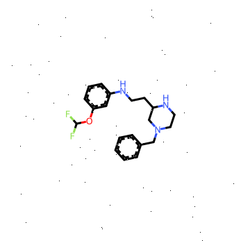 FC(F)Oc1cccc(NCCC2CN(Cc3ccccc3)CCN2)c1